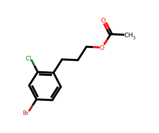 CC(=O)OCCCc1ccc(Br)cc1Cl